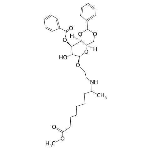 COC(=O)CCCCCCC(C)NCCO[C@@H]1O[C@@H]2COC(c3ccccc3)O[C@@H]2[C@H](OC(=O)c2ccccc2)[C@H]1O